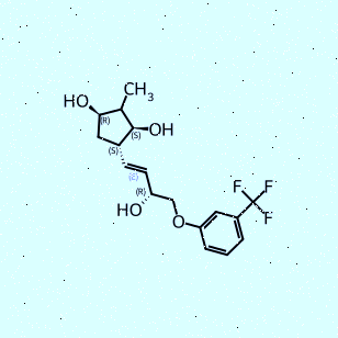 CC1[C@H](O)C[C@@H](/C=C/[C@@H](O)COc2cccc(C(F)(F)F)c2)[C@@H]1O